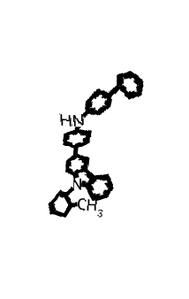 CC1CC=CC=C1n1c2ccccc2c2cc(-c3ccc(Nc4ccc(-c5ccccc5)cc4)cc3)ccc21